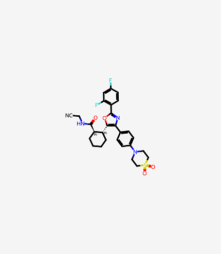 N#CCNC(=O)[C@@H]1CCCC[C@H]1c1oc(-c2ccc(F)cc2F)nc1-c1ccc(N2CCS(=O)(=O)CC2)cc1